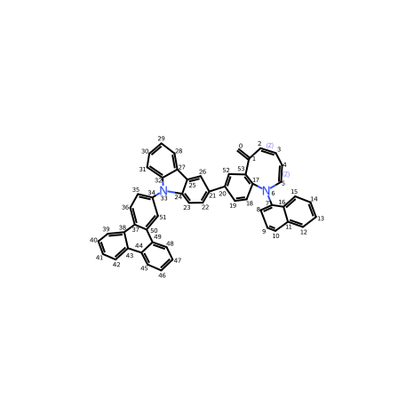 C=C1/C=C\C=C/N(c2cccc3ccccc23)c2ccc(-c3ccc4c(c3)c3ccccc3n4-c3ccc4c5ccccc5c5ccccc5c4c3)cc21